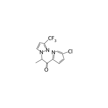 CC(C(=O)c1ccc(Cl)cn1)n1ccc(C(F)(F)F)n1